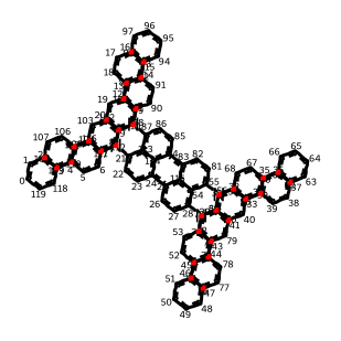 c1ccc(-c2ccc(N(c3ccc(-c4ccccc4)cc3)c3ccc4c5ccc(N(c6ccc(-c7ccccc7)cc6)c6ccc(-c7ccccc7)cc6)c6c(N(c7ccc(-c8ccccc8)cc7)c7ccc(-c8ccccc8)cc7)ccc(c7ccc(N(c8ccc(-c9ccccc9)cc8)c8ccc(-c9ccccc9)cc8)c3c47)c65)cc2)cc1